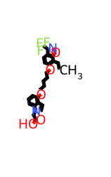 CCCc1c(OCCCCCOc2cccc3c2ccn3CC(=O)O)ccc2c(C(F)(F)F)noc12